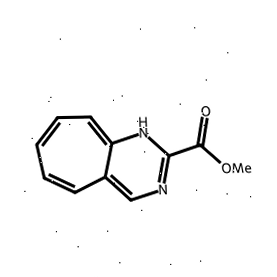 COC(=O)C1=NC=C2C=CC=CC=C2N1